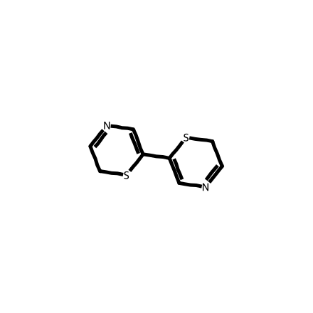 C1=NC=C(C2=CN=CCS2)SC1